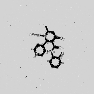 CCCCCn1c(C)cc(=O)c(C(=O)Nc2ccccc2Cl)c1-c1ccncc1